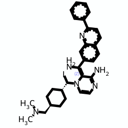 CN(C)C[C@H]1CC[C@H](C(I)N2C=CN=C(N)/C2=C(/N)c2ccc3ccc(-c4ccccc4)nc3c2)CC1